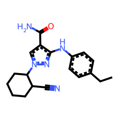 CCc1ccc(Nc2nn(C3CCCCC3C#N)cc2C(N)=O)cc1